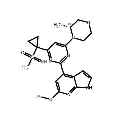 CC(C)Oc1cc(-c2nc(N3CCOC[C@H]3C)cc(C3(S(C)(=N)=O)CC3)n2)c2cc[nH]c2n1